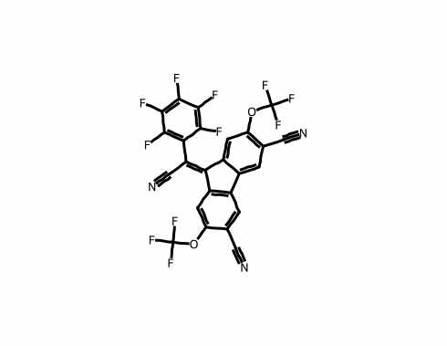 N#CC(=C1c2cc(OC(F)(F)F)c(C#N)cc2-c2cc(C#N)c(OC(F)(F)F)cc21)c1c(F)c(F)c(F)c(F)c1F